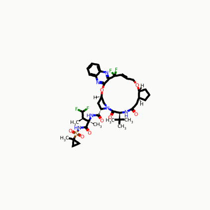 C[C@@H](C(F)F)[C@@](C)(NC(=O)[C@@H]1C[C@@H]2CN1C(=O)[C@H](C(C)(C)C)NC(=O)C[C@@H]1CCC[C@H]1OC/C=C/C(F)(F)c1nc3ccccc3nc1O2)C(=O)NS(=O)(=O)C1(C)CC1